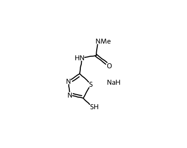 CNC(=O)Nc1nnc(S)s1.[NaH]